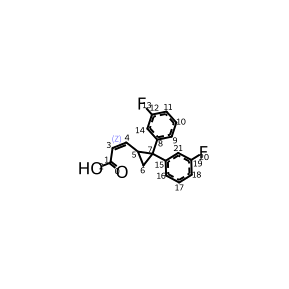 O=C(O)/C=C\C1CC1(c1cccc(F)c1)c1cccc(F)c1